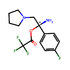 N[C@](CN1CCCC1)(OC(=O)C(F)(F)F)c1ccc(F)cc1